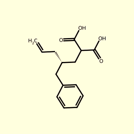 C=CC[C@@H](Cc1ccccc1)CC(C(=O)O)C(=O)O